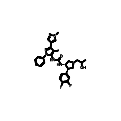 Cc1c(-c2cnn(C)c2)nn(-c2ccccc2)c1NC(=O)N[C@@H]1CN(CC(C)O)C[C@H]1c1ccc(F)c(F)c1